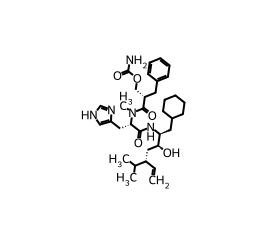 C=C[C@@H](C[C@H](O)[C@H](CC1CCCCC1)NC(=O)[C@H](Cc1c[nH]cn1)N(C)C(=O)[C@H](COC(N)=O)Cc1ccccc1)C(C)C